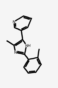 Cc1ccccc1-c1nc(C)c(-c2cccnc2)[nH]1